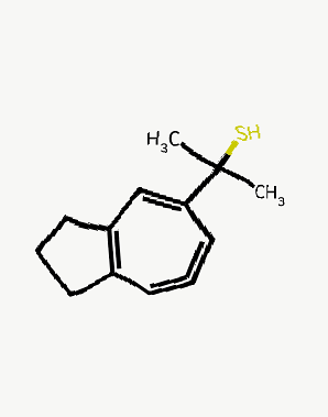 CC(C)(S)C1=CC2=C(C=C=C1)CCC2